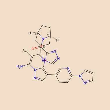 CC(=O)c1c([C@@H]2C[C@H]3CC[C@@H](C2)N3C(=O)c2nnc[nH]2)nc2c(-c3ccc(-n4cccn4)nc3)cnn2c1N